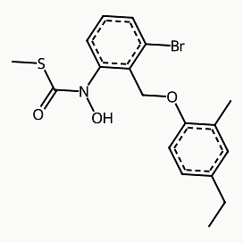 CCc1ccc(OCc2c(Br)cccc2N(O)C(=O)SC)c(C)c1